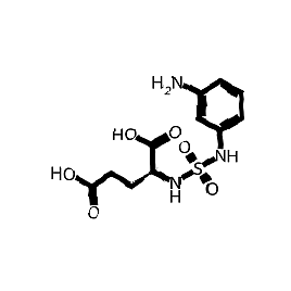 Nc1cccc(NS(=O)(=O)N[C@@H](CCC(=O)O)C(=O)O)c1